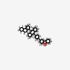 c1ccc2c(c1)ccc1c(-c3c4ccccc4c(-c4ccc(-c5ccc6oc7ccccc7c6c5)cc4)c4ccccc34)cccc12